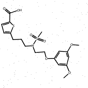 COc1cc(OC)cc(OCCN(CCCc2ccc(C(=O)O)s2)S(C)(=O)=O)c1